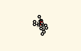 c1ccc(-c2cccc(-c3nc(-c4ccc5c(sc6ccc7ccccc7c65)c4-n4c5cc6ccccc6cc5c5ccc6ccccc6c54)nc(-c4cccc5ccccc45)n3)c2)cc1